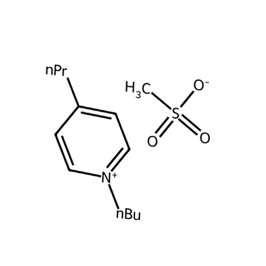 CCCC[n+]1ccc(CCC)cc1.CS(=O)(=O)[O-]